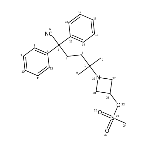 CC(C)(CCC(C#N)(c1ccccc1)c1ccccc1)N1CC(OS(C)(=O)=O)C1